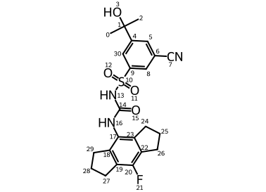 CC(C)(O)c1cc(C#N)cc(S(=O)(=O)NC(=O)Nc2c3c(c(F)c4c2CCC4)CCC3)c1